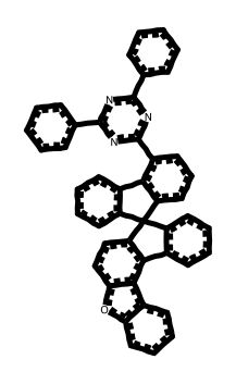 c1ccc(-c2nc(-c3ccccc3)nc(-c3cccc4c3-c3ccccc3C43c4ccccc4-c4c3ccc3oc5ccccc5c43)n2)cc1